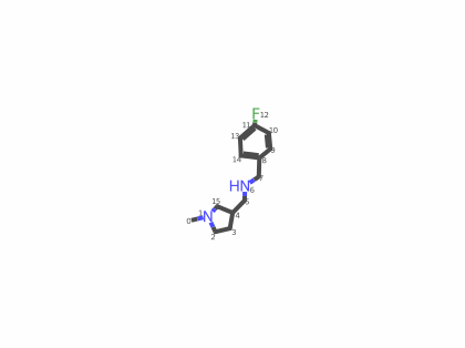 CN1CCC(CNCc2ccc(F)cc2)C1